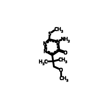 COCC(C)(C)c1nnc(SC)n(N)c1=O